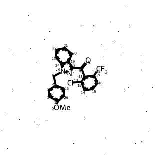 COc1ccc(Cn2nc(C(=O)c3c(Cl)cccc3C(F)(F)F)c3ccccc32)cc1